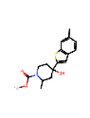 CCCCOC(=O)N1CCC(O)(c2cc3ccc(C)cc3s2)CC1C